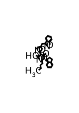 CCCCc1nc(O)c(-c2ncc(Cc3noc4ccccc34)o2)c(=O)n1[C@H]1CCc2ccccc21